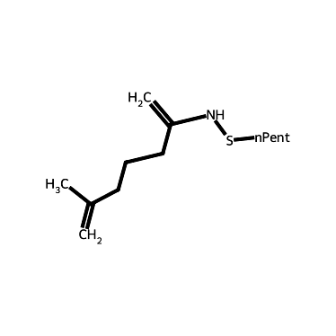 C=C(C)CCCC(=C)NSCCCCC